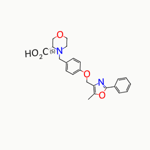 Cc1oc(-c2ccccc2)nc1COc1ccc(CN2CCOC[C@H]2C(=O)O)cc1